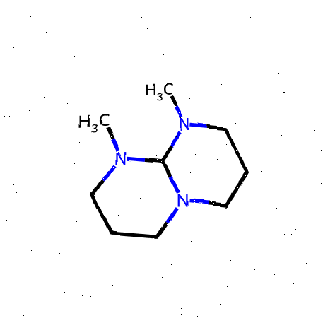 CN1CCCN2CCCN(C)C12